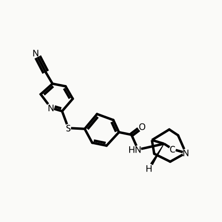 N#Cc1ccc(Sc2ccc(C(=O)N[C@H]3CN4CCC3CC4)cc2)nc1